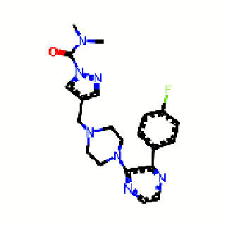 CN(C)C(=O)n1cc(CN2CCN(c3nccnc3-c3ccc(F)cc3)CC2)cn1